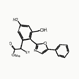 CCC(C(=O)OC)c1cc(O)cc(O)c1-c1ncc(-c2ccccc2)o1